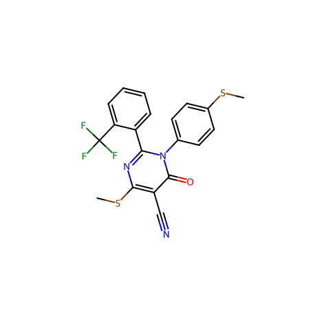 CSc1ccc(-n2c(-c3ccccc3C(F)(F)F)nc(SC)c(C#N)c2=O)cc1